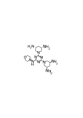 N[C@@H]1C[C@H](N)CN(c2nc(NN3CCOCC3)nc(N3C[C@H](N)C[C@H](N)C3)n2)C1